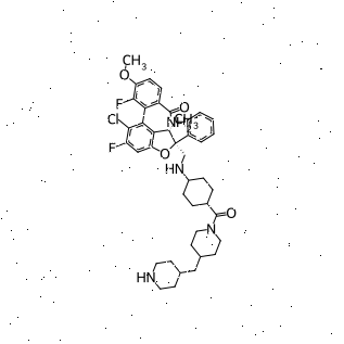 COc1ccc(C(N)=O)c(-c2c(Cl)c(F)cc3c2[C@H](C)[C@@](CNC2CCC(C(=O)N4CCC(CC5CCNCC5)CC4)CC2)(c2ccccc2)O3)c1F